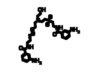 Nc1cccc(C(=O)NCCSOOCCN(CCO)CCS(=O)(=O)CCNC(=O)c2cccc(N)c2)c1